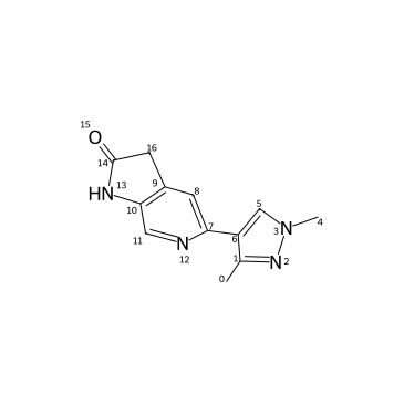 Cc1nn(C)cc1-c1cc2c(cn1)NC(=O)C2